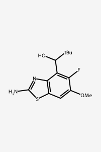 COc1cc2sc(N)nc2c(C(O)C(C)(C)C)c1F